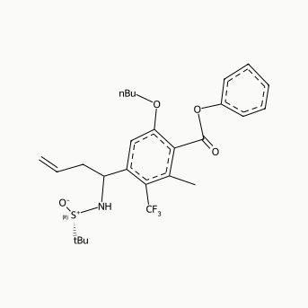 C=CCC(N[S@@+]([O-])C(C)(C)C)c1cc(OCCCC)c(C(=O)Oc2ccccc2)c(C)c1C(F)(F)F